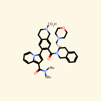 CCCCN(CCCC)C(=O)c1cc(-c2cc3c(cc2C(=O)N2Cc4ccccc4C[C@H]2CN2CCOCC2)CN(C(=O)O)CC3)n2ccccc12